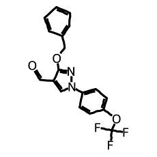 O=Cc1cn(-c2ccc(OC(F)(F)F)cc2)nc1OCc1ccccc1